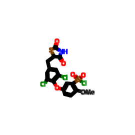 COc1ccc(Oc2c(Cl)cc(CC3SC(=O)NC3=O)cc2Cl)cc1S(=O)(=O)Cl